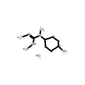 CN=C(NN)N(C)C1CCC(N)CC1.Cl